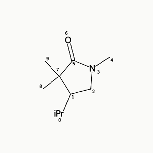 CC(C)C1CN(C)C(=O)C1(C)C